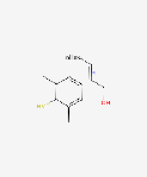 CCCCCC/C=C/CO.Cc1cccc(C)c1S